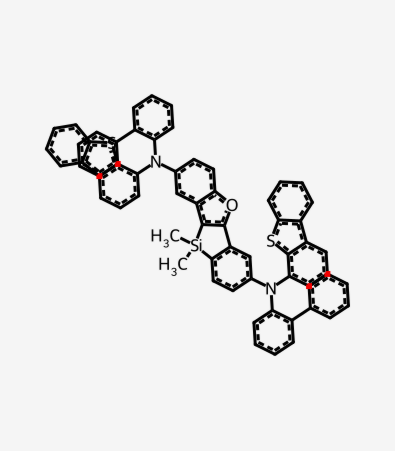 C[Si]1(C)c2ccc(N(c3ccccc3-c3ccccc3)c3cccc4c3sc3ccccc34)cc2-c2oc3ccc(N(c4ccccc4-c4ccccc4)c4cccc5c4sc4ccccc45)cc3c21